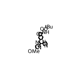 COc1ccc2nc(-c3ccc4c(c3)OC[C@@H]4NC(=O)OC(C)(C)C)c(-c3cnccn3)n2n1